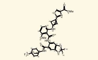 COC(=O)c1coc(C23CC(Nc4nccc(OC)c4C(=O)Nc4cc5c(cc4C(=O)NC46CCC(C(F)(F)F)(CC4)OC6)OC(F)(F)O5)(C2)C3)n1